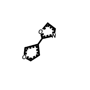 c1coc(-c2ccoc2)n1